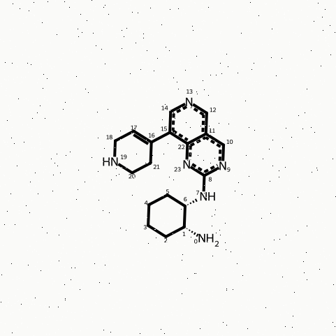 N[C@@H]1CCCC[C@@H]1Nc1ncc2cncc(C3=CCNCC3)c2n1